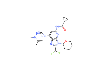 C=C(C)N(C)/N=C\Nc1cc(NC(=O)C2CC2)nc2c1nc(C(F)F)n2C1CCCCO1